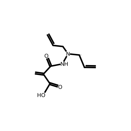 C=C[CH]N(CC=C)NC(=O)C(=C)C(=O)O